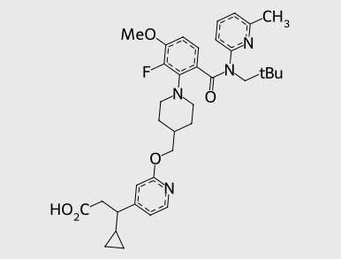 COc1ccc(C(=O)N(CC(C)(C)C)c2cccc(C)n2)c(N2CCC(COc3cc(C(CC(=O)O)C4CC4)ccn3)CC2)c1F